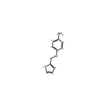 Nc1ccc(OCc2cccs2)cc1